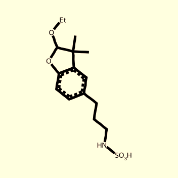 CCOC1Oc2ccc(CCCNS(=O)(=O)O)cc2C1(C)C